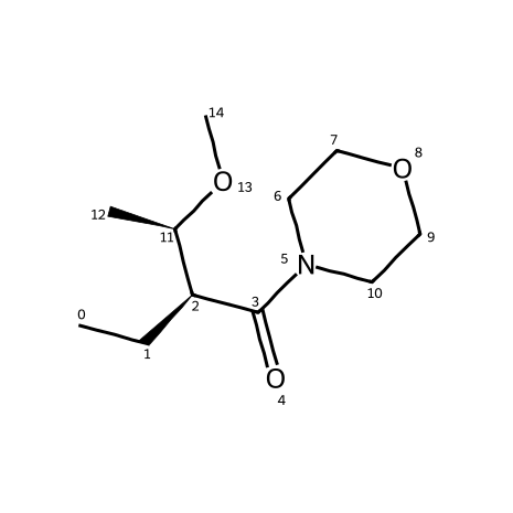 CC[C@H](C(=O)N1CCOCC1)[C@@H](C)OC